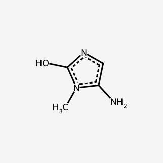 Cn1c(N)cnc1O